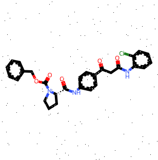 O=C(CC(=O)c1ccc(NC(=O)[C@@H]2CCCN2C(=O)OCc2ccccc2)cc1)Nc1ccccc1Cl